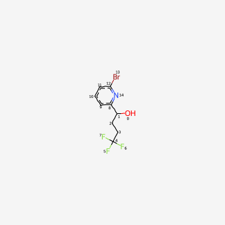 OC(CCC(F)(F)F)c1cccc(Br)n1